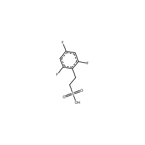 O=S(=O)(O)CCc1c(F)cc(F)cc1F